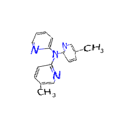 Cc1ccc(N(c2ccccn2)c2ccc(C)cn2)nc1